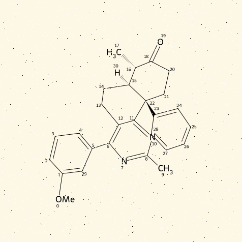 COc1cccc(-c2nc(C)nc3c2CC[C@H]2[C@H](C)C(=O)CC[C@]32c2ccccc2)c1